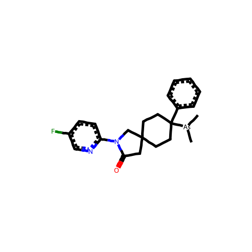 C[As](C)C1(c2ccccc2)CCC2(CC1)CC(=O)N(c1ccc(F)cn1)C2